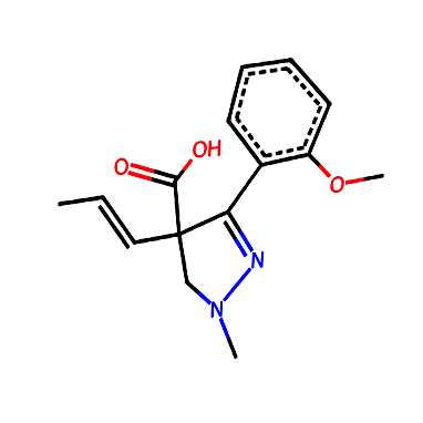 CC=CC1(C(=O)O)CN(C)N=C1c1ccccc1OC